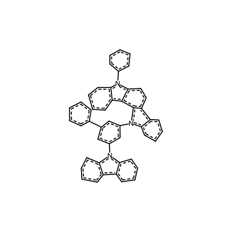 c1ccc(-c2cc(-n3c4ccccc4c4ccccc43)cc(-n3c4ccccc4c4ccc5c(c6ccccc6n5-c5ccccc5)c43)c2)cc1